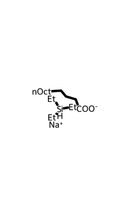 CCCCCCCCCCCC(=O)[O-].CC[SiH](CC)CC.[Na+]